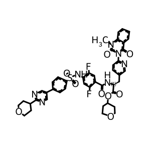 Cn1c(=O)n(-c2ccc(C[C@H](NC(=O)c3cc(F)c(NS(=O)(=O)c4ccc(-c5cnc(C6CCOCC6)nc5)cc4)cc3F)C(=O)OC3CCOCC3)cn2)c(=O)c2ccccc21